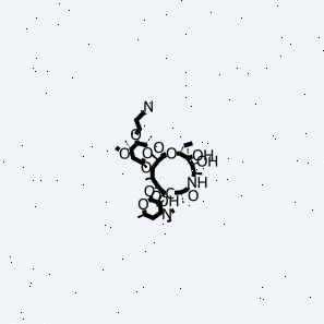 CC[C@H]1OC(=O)[C@H](C)[C@@H](O[C@H]2C[C@@](C)(OC)C(OCCC#N)[C@H](C)O2)[C@H](C)[C@@H](O[C@@H]2O[C@H](C)C[C@H](N(C)C)[C@H]2O)[C@](C)(OC)C[C@@H](C)C(=O)N[C@H](C)[C@@H](O)[C@]1(C)O